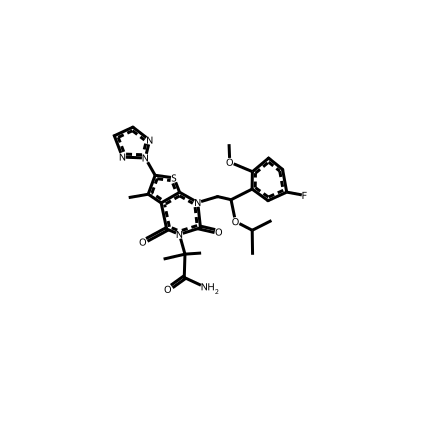 COc1ccc(F)cc1C(Cn1c(=O)n(C(C)(C)C(N)=O)c(=O)c2c(C)c(-n3nccn3)sc21)OC(C)C